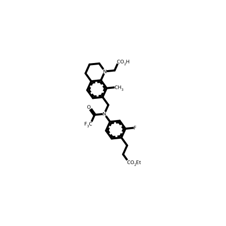 CCOC(=O)CCc1ccc(N(Cc2ccc3c(c2C)N(CC(=O)O)CCC3)C(=O)C(F)(F)F)cc1F